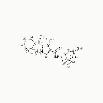 CN(c1c(F)c(C(=O)NC2C3CC4CC2CC(O)(C4)C3)nn1C)[C@H]1CCCNC1